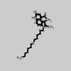 CCCCCCCSCCCCCCn1c(C)c(C)c2c3c(C(F)F)cc(=O)[nH]c3ccc21